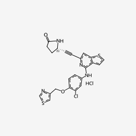 Cl.O=C1CC[C@@H](C#Cc2cc3sccc3c(Nc3ccc(OCc4cscn4)c(Cl)c3)n2)N1